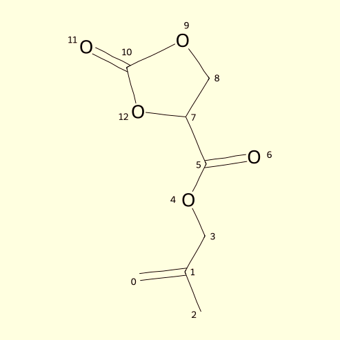 C=C(C)COC(=O)C1COC(=O)O1